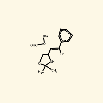 CC(C)(C)OC=O.CC1(C)NC(/C=C(\Br)c2ccccc2)CO1